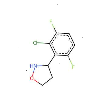 Fc1ccc(F)c(C2CCON2)c1Cl